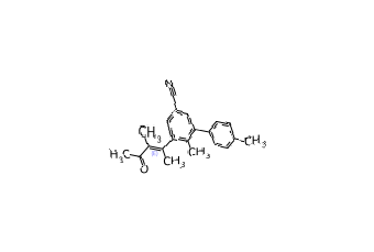 CC(=O)/C(C)=C(\C)c1cc(C#N)cc(-c2ccc(C)cc2)c1C